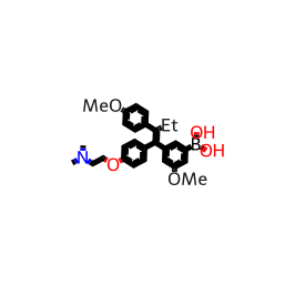 CC/C(=C(/c1ccc(OCCN(C)C)cc1)c1cc(OC)cc(B(O)O)c1)c1ccc(OC)cc1